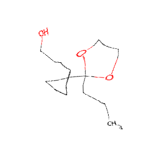 CCCC1(C2(CCO)CC2)OCCO1